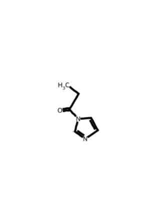 CCC(=O)n1[c]ncc1